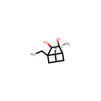 CCC12CC3CC([C@H]31)[C@](C)(O)C2O